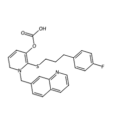 O=C(O)OC1=C(SCCCc2ccc(F)cc2)N(Cc2ccc3cccnc3c2)CC=C1